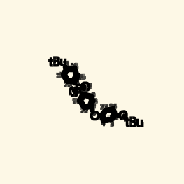 CC(C)(C)Oc1ccc(Oc2ccc(S(=O)(=O)c3ccc(C(C)(C)C)cc3)cc2)cc1